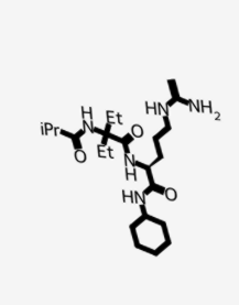 C=C(N)NCCC[C@H](NC(=O)C(CC)(CC)NC(=O)C(C)C)C(=O)NC1CCCCC1